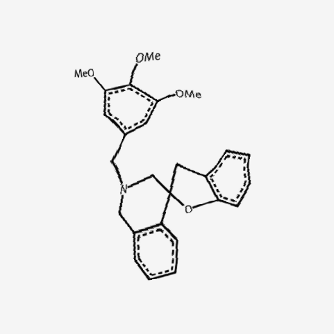 COc1cc(CN2Cc3ccccc3C3(Cc4ccccc4O3)C2)cc(OC)c1OC